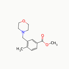 COC(=O)c1ccc(C)c(CN2CCOCC2)c1